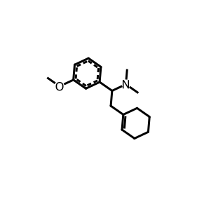 COc1cccc(C(CC2=CCCCC2)N(C)C)c1